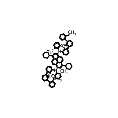 CCc1ccccc1-c1cccc2c1oc1c(N(c3c(C)cccc3C)c3cc(C4CCCCC4)c4ccc5c(N(c6c(C)cccc6C)c6cccc7c6oc6c(-c8ccccc8CC)cccc67)cc(C6CCCCC6)c6ccc3c4c65)cccc12